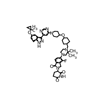 CC1(Oc2ccc3[nH]nc(-c4cc(N5CCC(OC6CCC(CN7CCN(c8ccc9c(c8F)CN(C8CCC(=O)NC8=O)C9=O)CC7(C)C)CC6)CC5)ncn4)c3c2)CC1